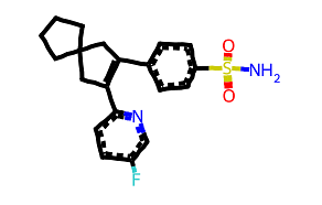 NS(=O)(=O)c1ccc(C2=C(c3ccc(F)cn3)CC3(CCCC3)C2)cc1